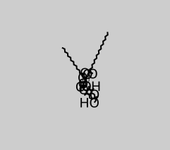 CCCCCCCCCCCCCCCCCC(=O)OC[C@H](COP(=O)(O)Oc1c(C)c(C)c2c(c1C)CCC(C)(CO)O2)OC(=O)CCCCCCCCCCCCC